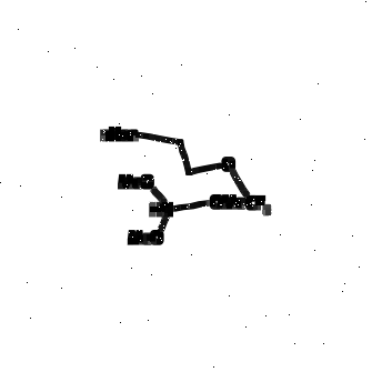 CCCCCCCCCCCOC(F)(F)F.CO[SiH](OC)OC